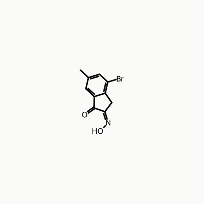 Cc1cc(Br)c2c(c1)C(=O)C(=NO)C2